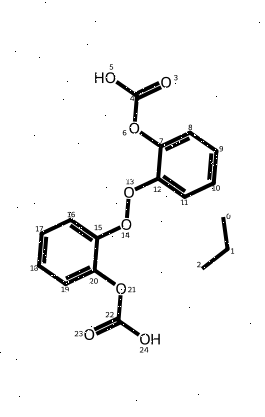 CCC.O=C(O)Oc1ccccc1OOc1ccccc1OC(=O)O